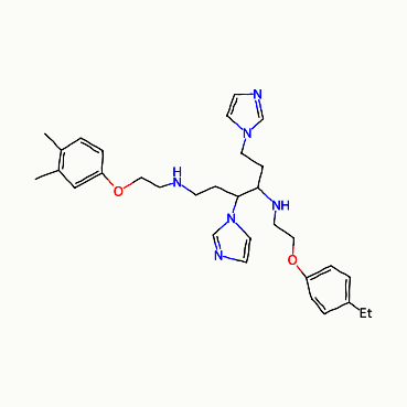 CCc1ccc(OCCNC(CCn2ccnc2)C(CCNCCOc2ccc(C)c(C)c2)n2ccnc2)cc1